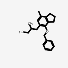 Cc1cc(CC(O)CO)c(OCc2ccccc2)c2c1CCC2